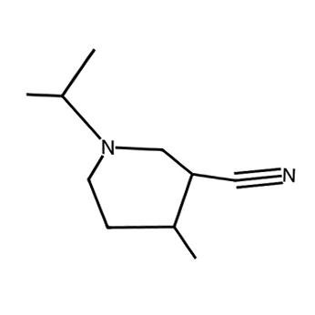 CC1CCN(C(C)C)CC1C#N